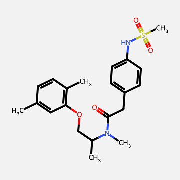 Cc1ccc(C)c(OCC(C)N(C)C(=O)Cc2ccc(NS(C)(=O)=O)cc2)c1